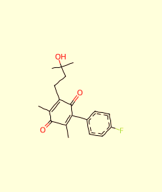 CC1=C(CCC(C)(C)O)C(=O)C(c2ccc(F)cc2)=C(C)C1=O